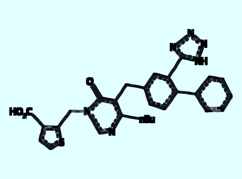 CCCCc1ncn(Cc2sccc2C(=O)O)c(=O)c1Cc1ccc(-c2ccccc2)c(-c2nnn[nH]2)c1